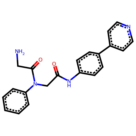 NCC(=O)N(CC(=O)Nc1ccc(-c2ccncc2)cc1)c1ccccc1